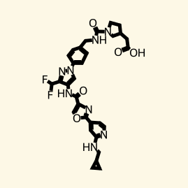 O=C(O)CC1CCN(C(=O)NCc2ccc(-n3cc(NC(=O)c4coc(-c5ccnc(NCC6CC6)c5)n4)c(C(F)F)n3)cc2)C1